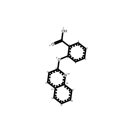 O=C(O)c1ccccc1Oc1ccc2ccccc2n1